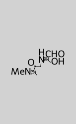 CN[C@@H](C)C(=O)CN[C@H](C=O)CO